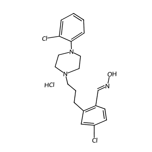 Cl.ON=Cc1ccc(Cl)cc1CCCN1CCN(c2ccccc2Cl)CC1